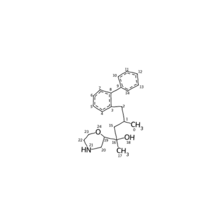 CC(Cc1ccccc1-c1ccccc1)CC(C)(O)C1CNCCO1